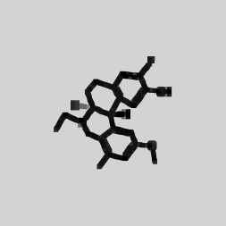 CCN1Cc2c(C)cc(OC)cc2[C@H]2c3cc(O)c(F)cc3CC[C@@H]21